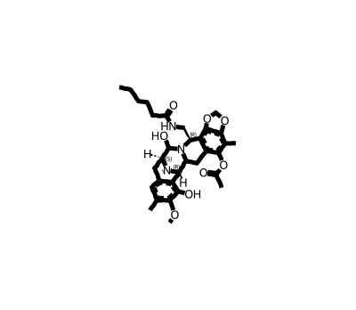 CCCCCC(=O)NC[C@H]1c2c(c(OC(C)=O)c(C)c3c2OCO3)CC2[C@H]3c4c(cc(C)c(OC)c4O)C[C@@H](C(O)N21)N3C